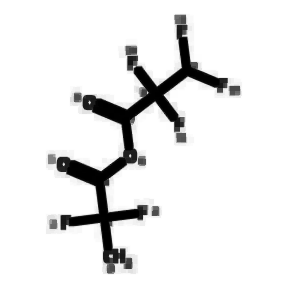 CC(F)(F)C(=O)OC(=O)C(F)(F)C(F)F